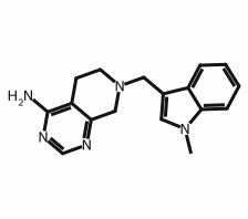 Cn1cc(CN2CCc3c(N)ncnc3C2)c2ccccc21